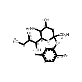 CC(=O)NC1C(O)CC(Oc2cc(C)ccc2C(C)C)(C(=O)O)OC1C(O)C(O)CO